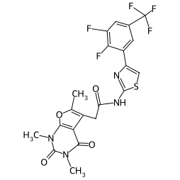 Cc1oc2c(c1CC(=O)Nc1nc(-c3cc(C(F)(F)F)cc(F)c3F)cs1)c(=O)n(C)c(=O)n2C